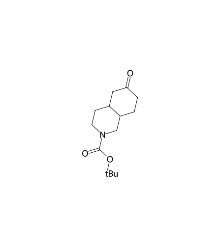 CC(C)(C)OC(=O)N1CCC2CC(=O)CCC2C1